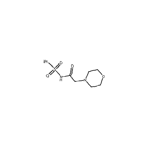 CC(C)S(=O)(=O)NC(=O)CN1CCOCC1